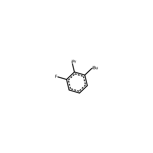 CCC(C)c1cccc(F)c1C(C)C